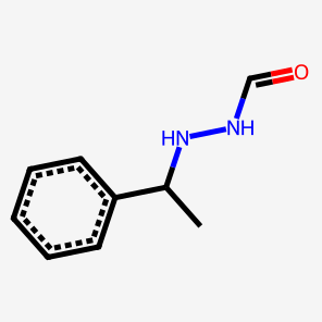 CC(NNC=O)c1ccccc1